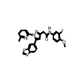 COc1ccc(NC(=O)Cc2cc(-c3ccc4ncsc4c3)n(-c3cccc(C)n3)n2)cc1F